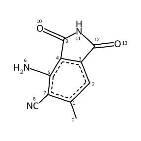 Cc1cc2c(c(N)c1C#N)C(=O)NC2=O